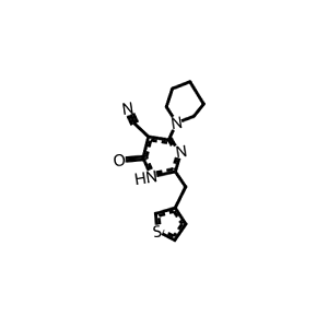 N#Cc1c(N2CCCCC2)nc(Cc2ccsc2)[nH]c1=O